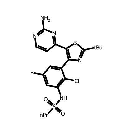 CCCS(=O)(=O)Nc1cc(F)cc(-c2nc(C(C)(C)C)sc2-c2ccnc(N)n2)c1Cl